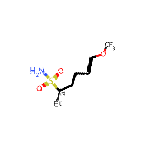 CC[C@H](CCC=COC(F)(F)F)S(N)(=O)=O